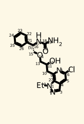 CCn1ncc2cc(Cl)nc(CC(O)COC[C@@H](NC(N)=O)c3ccccc3)c21